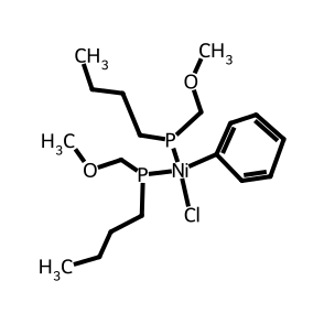 CCCC[P](COC)[Ni]([Cl])([c]1ccccc1)[P](CCCC)COC